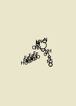 O=C(CC1CN(c2nc3ccccc3s2)C1)Nc1ccc2cc1CCc1cncc(c1)Nc1ncc(Cl)c(n1)N2.O=C(O)C(F)(F)F.O=C(O)C(F)(F)F.O=C(O)C(F)(F)F